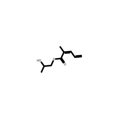 C=CC=C(C)C(=O)OCC(C)O